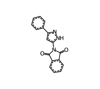 O=C1c2ccccc2C(=O)N1c1cc(-c2ccccc2)n[nH]1